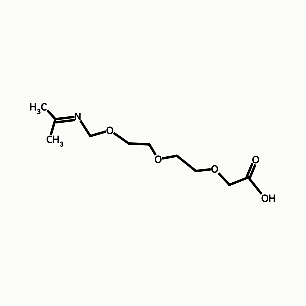 CC(C)=NCOCCOCCOCC(=O)O